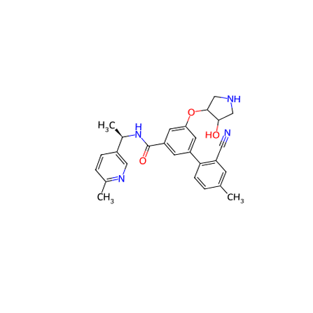 Cc1ccc(-c2cc(OC3CNCC3O)cc(C(=O)N[C@H](C)c3ccc(C)nc3)c2)c(C#N)c1